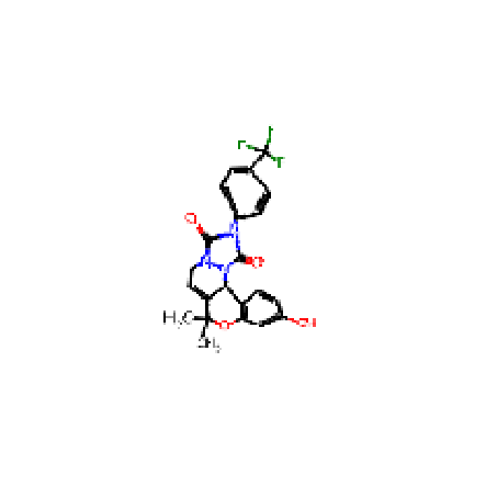 CC1(C)Oc2cc(O)ccc2C2C1=CCn1c(=O)n(-c3ccc(C(F)(F)F)cc3)c(=O)n12